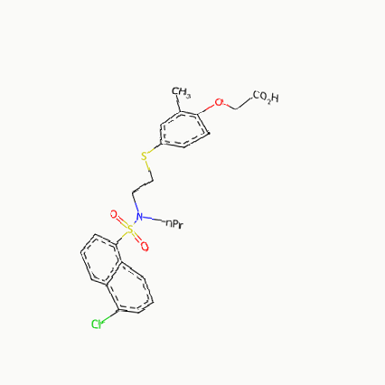 CCCN(CCSc1ccc(OCC(=O)O)c(C)c1)S(=O)(=O)c1cccc2c(Cl)cccc12